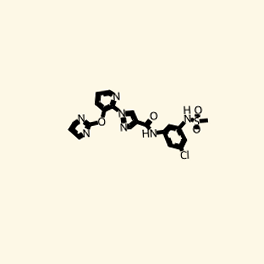 CS(=O)(=O)Nc1cc(Cl)cc(NC(=O)c2cnn(-c3ncccc3Oc3ncccn3)c2)c1